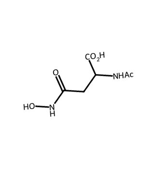 CC(=O)NC(CC(=O)NO)C(=O)O